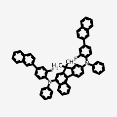 CC1(C)c2cc(N(c3ccccc3)c3ccc(-c4ccc5ccccc5c4)cc3F)ccc2-c2c1cc(N(c1ccccc1)c1ccc(-c3ccc4ccccc4c3)cc1F)c1ccccc21